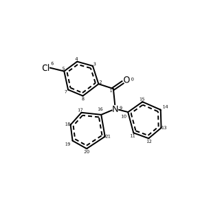 O=C(c1ccc(Cl)cc1)N(c1ccccc1)c1ccccc1